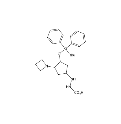 CC(C)(C)[Si](OC1CC(NNC(=O)O)CC1N1CCC1)(c1ccccc1)c1ccccc1